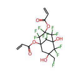 C=CC(=O)OC1(F)C(F)(F)C2(OC(=O)C=C)CC(O)(CF)C(F)(F)C(O)(C1(F)F)C2(F)F